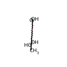 CCCCCC(O)CCC(O)CCCCCCCCCCCCCCCCCCCCC(=O)O